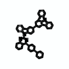 c1ccc(-c2ccc(-c3nc(-n4c5ccccc5c5cc(-c6cc7c8ccccc8n8c9ccccc9c(c6)c78)ccc54)nc4ccccc34)cc2)cc1